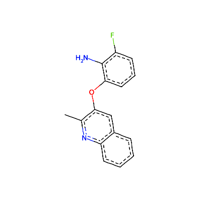 Cc1nc2ccccc2cc1Oc1cccc(F)c1N